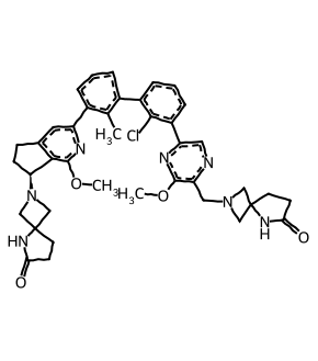 COc1nc(-c2cccc(-c3cccc(-c4cc5c(c(OC)n4)[C@@H](N4CC6(CCC(=O)N6)C4)CC5)c3C)c2Cl)cnc1CN1CC2(CCC(=O)N2)C1